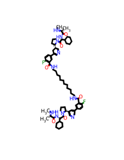 CN[C@@H](C)C(=O)N[C@H](C(=O)N1CCC[C@H]1c1cncc(-c2ccc(F)c(C(=O)NCCCCCCCCCCCCNC(=O)c3cc(C4=CN=CC([C@@H]5CCCN5C(=O)[C@@H](NC(=O)[C@H](C)NC)C5CCCCC5)C4)ccc3F)c2)c1)C1CCCCC1